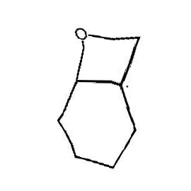 C1CCC2OC[C]2C1